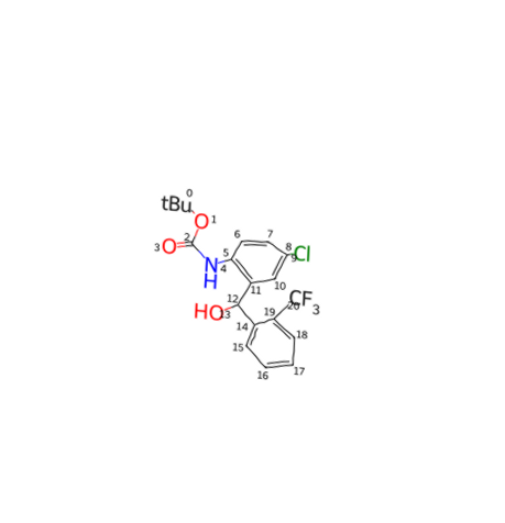 CC(C)(C)OC(=O)Nc1ccc(Cl)cc1C(O)c1ccccc1C(F)(F)F